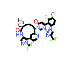 C[C@@H]1CCC[C@H](n2cnc(-c3c(-n4cc(C(F)F)nn4)ccc(Cl)c3F)cc2=O)c2cc(ccn2)-c2c(cnn2C(F)F)NC1=O